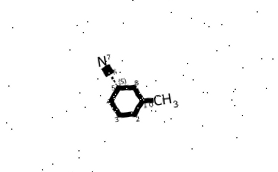 CC1CCC[C@H](C#N)C1